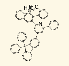 Cc1ccccc1-c1c(-c2cc(-c3ccc4c(c3)C(c3ccccc3)(c3ccccc3)c3ccccc3-4)cc(-c3ccccc3)n2)cc2ccccc2c1C